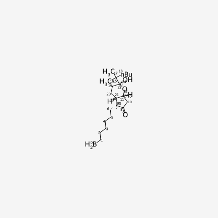 BCCCCCC[C@H]1C(=O)C[C@H]2O[C@@](O)(C(C)(C)CCCC)CC[C@@H]21